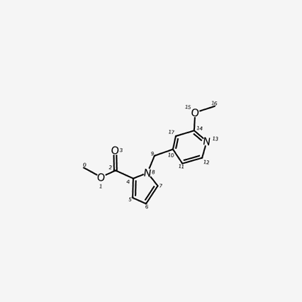 COC(=O)c1cccn1Cc1ccnc(OC)c1